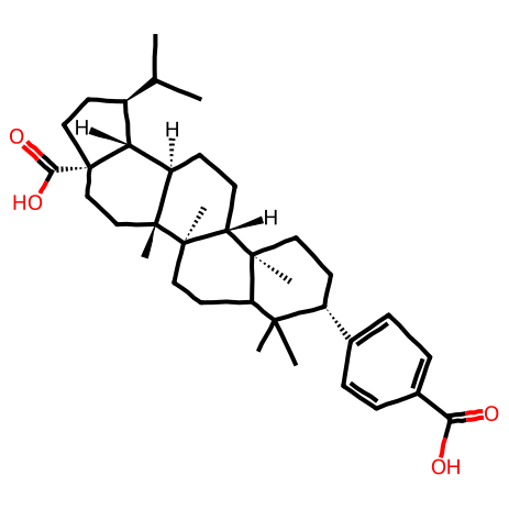 CC(C)[C@@H]1CC[C@]2(C(=O)O)CC[C@]3(C)[C@H](CC[C@@H]4[C@@]5(C)CC[C@H](c6ccc(C(=O)O)cc6)C(C)(C)C5CC[C@]43C)[C@@H]12